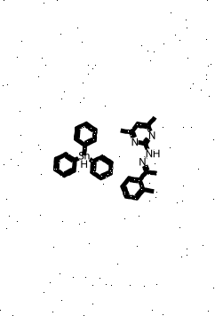 C/C(=N\Nc1nc(C)cc(C)n1)c1ccccc1C.c1cc[c]([SnH]([c]2ccccc2)[c]2ccccc2)cc1